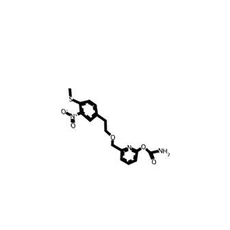 CSc1ccc(CCOCc2cccc(OC(N)=O)n2)cc1[N+](=O)[O-]